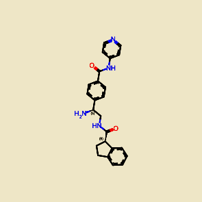 N[C@H](CNC(=O)[C@@H]1CCc2ccccc21)c1ccc(C(=O)Nc2ccncc2)cc1